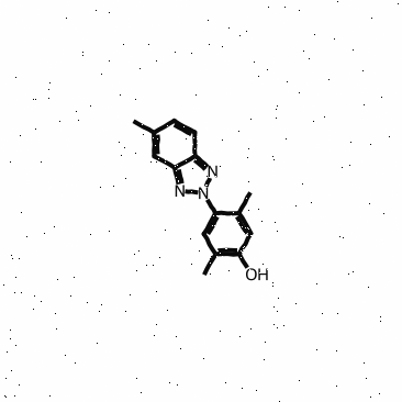 Cc1ccc2nn(-c3cc(C)c(O)cc3C)nc2c1